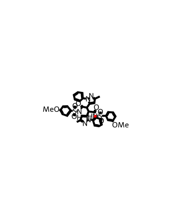 COc1ccc(S(=O)(=O)NC(=O)C(c2cc(C)nn2-c2ccccc2)C(C(=O)NS(=O)(=O)c2cccc(OC)c2)c2cc(C)nn2-c2ccccc2)cc1